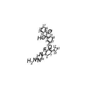 Nc1cnc(-c2ccc(C3CCC3)c(OCc3cccc(C(O)C(=O)c4ccccc4)c3)c2F)cn1